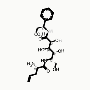 C=CC[C@H](N)C(=O)N[C@@H](CO)[C@@H](O)[C@@H](O)[C@H](O)C(=O)N[C@@H](CC(=O)O)c1ccccc1